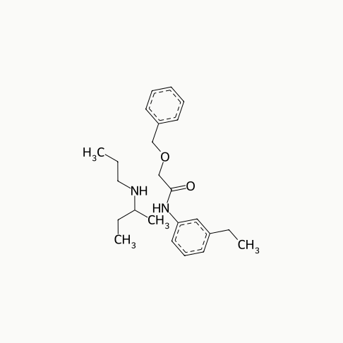 CCCNC(C)CC.CCc1cccc(NC(=O)COCc2ccccc2)c1